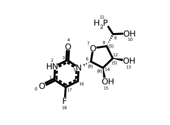 O=c1[nH]c(=O)n([C@@H]2O[C@H](C(O)P)[C@@H](O)[C@H]2O)cc1F